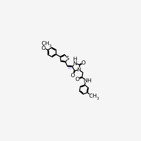 COc1ccc(-c2csc(/C=C3\NC(=O)N(CC(=O)Nc4cccc(C)c4)C3=O)c2)cc1